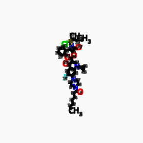 CCCCCCC(=O)N1CCN(c2cc3c(cc2F)c(=O)c(C(=O)O[C@@H]2C(=O)N(SC(C)CC)[C@@H]2c2ccccc2Cl)cn3C2CC2)CC1